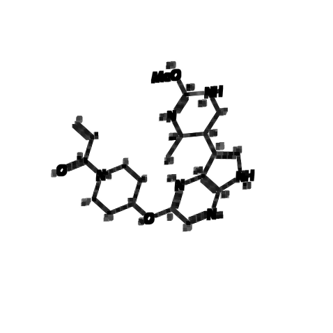 C=CC(=O)N1CCC(Oc2cnc3[nH]cc(C4CNC(OC)=NC4C)c3n2)CC1